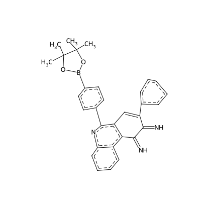 CC1(C)OB(c2ccc(-c3nc4ccccc4c4c3C=C(c3ccccc3)C(=N)C4=N)cc2)OC1(C)C